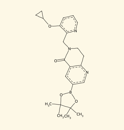 CC1(C)OB(c2cnc3c(c2)C(=O)N(Cc2ncccc2OC2CC2)CC3)OC1(C)C